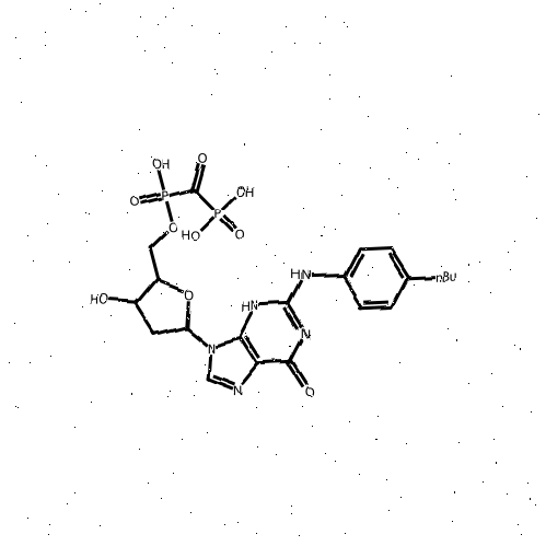 CCCCc1ccc(Nc2nc(=O)c3ncn(C4CC(O)C(COP(=O)(O)C(=O)P(=O)(O)O)O4)c3[nH]2)cc1